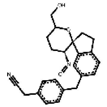 N#CCc1ccc(Cc2ccc3c(c2)[C@@]2(CC3)OC(CO)CC[C@@H]2N=O)cc1